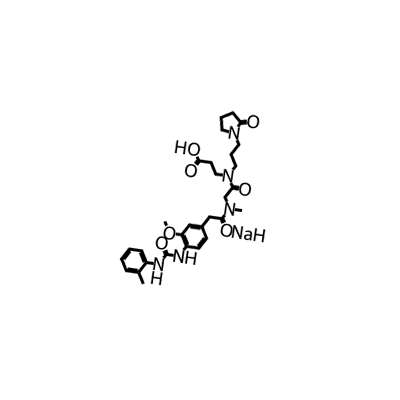 COc1cc(CC(=O)N(C)CC(=O)N(CCCN2CCCC2=O)CCC(=O)O)ccc1NC(=O)Nc1ccccc1C.[NaH]